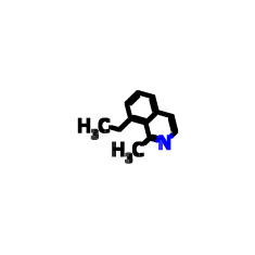 CCc1cccc2ccnc(C)c12